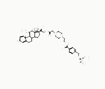 CC12C=CC(=O)C=C1CCC1C2C(O)CC2(C)C1CC[C@]2(O)C(=O)COC(=O)CN1CCN(CCOC(=O)c2ccc(CON(O)O)cc2)CC1